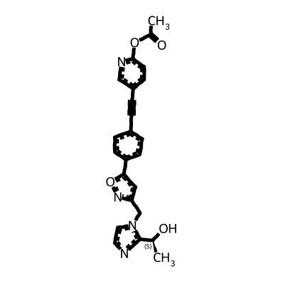 CC(=O)Oc1ccc(C#Cc2ccc(-c3cc(Cn4ccnc4[C@H](C)O)no3)cc2)cn1